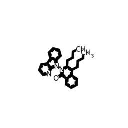 CCCCc1c(CCCC)n(-n2c3ccccc3c3cccnc32)c(=O)c2ccccc12